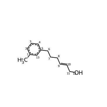 Cc1cccc(CCC/C=C/CO)c1